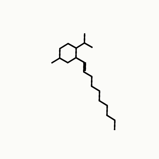 CCCCCCCCC=CC1CC(C)CCC1C(C)C